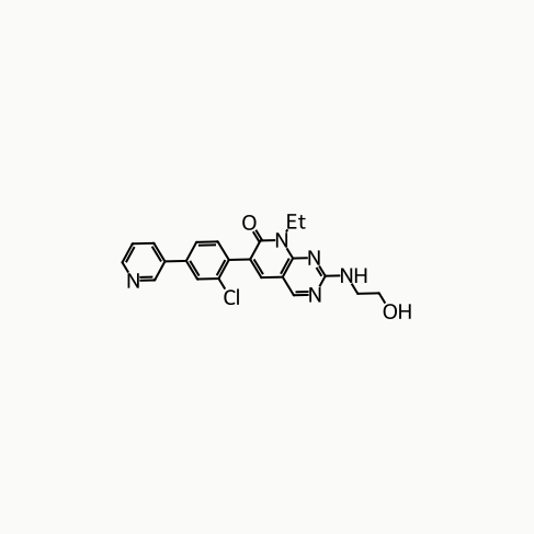 CCn1c(=O)c(-c2ccc(-c3cccnc3)cc2Cl)cc2cnc(NCCO)nc21